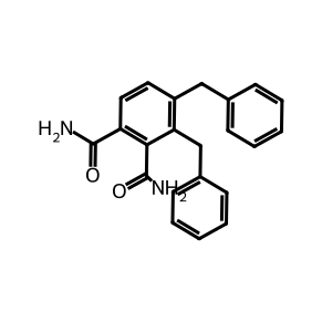 NC(=O)c1ccc(Cc2ccccc2)c(Cc2ccccc2)c1C(N)=O